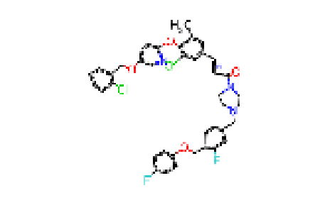 Cc1cc(/C=C/C(=O)N2CCN(Cc3ccc(COc4ccc(F)cc4)c(F)c3)CC2)cc(Cl)c1Oc1ccc(OCc2ccccc2Cl)cn1